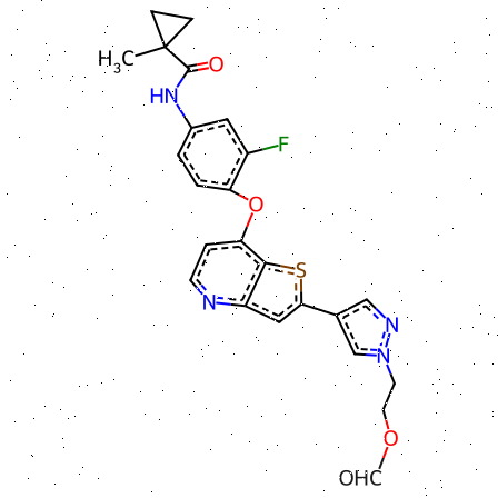 CC1(C(=O)Nc2ccc(Oc3ccnc4cc(-c5cnn(CCOC=O)c5)sc34)c(F)c2)CC1